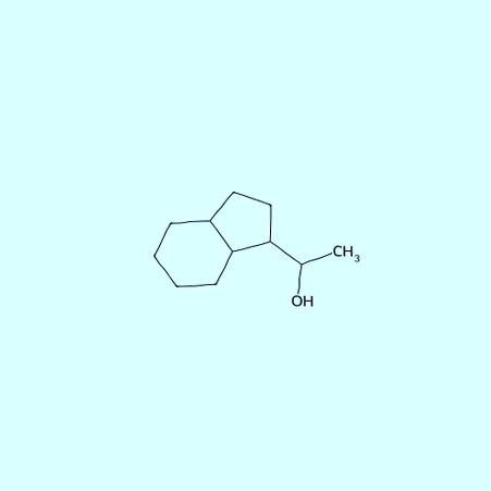 CC(O)C1CCC2CCCCC21